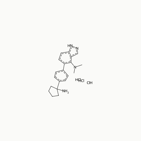 CN(C)c1c(-c2ccc(C3(N)CCCC3)cc2)ccc2[nH]ncc12.Cl.Cl.Cl